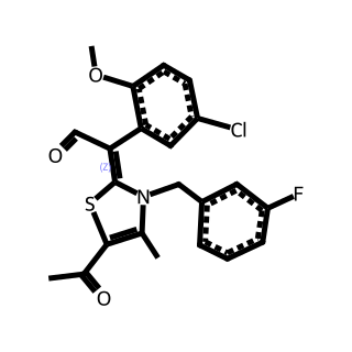 COc1ccc(Cl)cc1/C(C=O)=C1/SC(C(C)=O)=C(C)N1Cc1cccc(F)c1